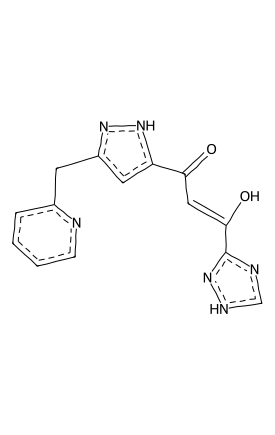 O=C(C=C(O)c1nc[nH]n1)c1cc(Cc2ccccn2)n[nH]1